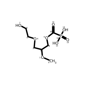 COC(COCCO)COC(=O)P(=O)(O)O